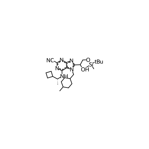 CC1CCC(Cn2c(C(O)CO[Si](C)(C)C(C)(C)C)nc3nc(C#N)nc(N[C@H](C)C4CCC4)c32)CC1